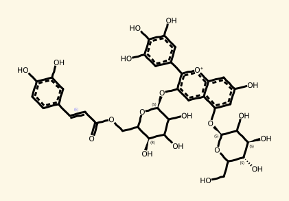 O=C(/C=C/c1ccc(O)c(O)c1)OCC1O[C@@H](Oc2cc3c(O[C@@H]4OC(CO)[C@@H](O)[C@H](O)C4O)cc(O)cc3[o+]c2-c2cc(O)c(O)c(O)c2)C(O)C(O)[C@H]1O